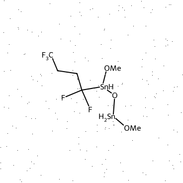 C[O][SnH2][O][SnH]([O]C)[C](F)(F)CCC(F)(F)F